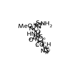 CON=C(C(=O)NC1C(=O)N2C(C(=O)O)=C(C=Cc3cscn3)CS[C@@H]12)c1csc(N)n1